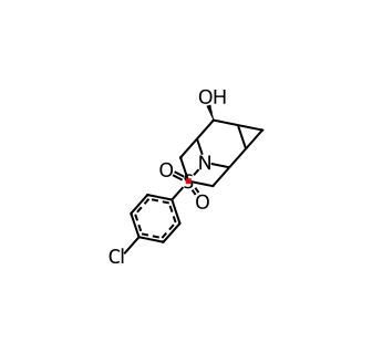 O=S(=O)(c1ccc(Cl)cc1)N1C2CCCC1[C@@H](O)C1CC12